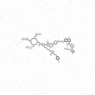 C#C[C@H]1CC(F)(F)CN1C(=O)CNC(=O)c1ccnc2ccc(OCCCN3CCN(C(=O)CN4C(=O)CC(SC(CCCCCNC(=O)CCCc5ccc(I)cc5)CNC(=O)CN5CCN(COC=O)CCN(COC=O)CCN(CC(=O)O)CC5)C4=O)CC3)cc12